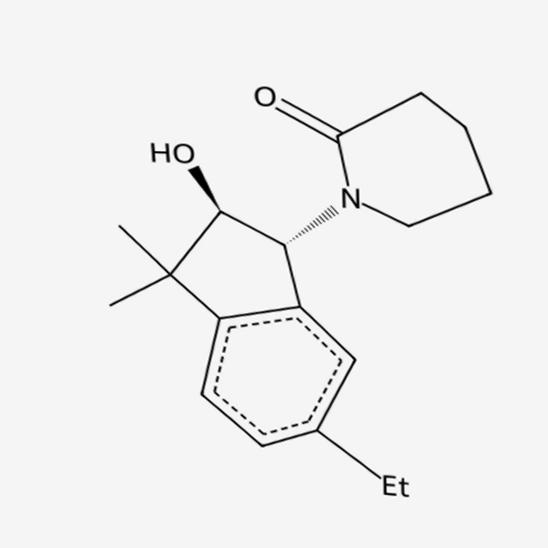 CCc1ccc2c(c1)[C@@H](N1CCCCC1=O)[C@H](O)C2(C)C